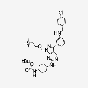 CC(C)(C)OC(=O)NC1CCC(Nc2ncc3c(-c4cccc(NCc5ccc(Cl)cc5)c4)nn(COCC[Si](C)(C)C)c3n2)CC1